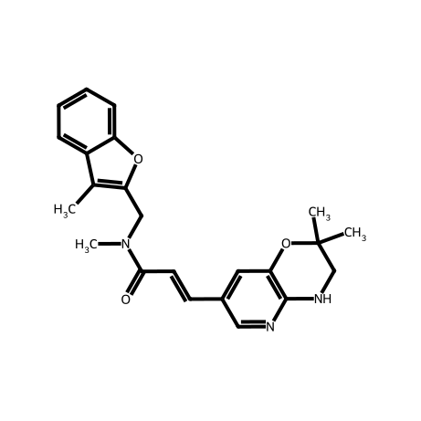 Cc1c(CN(C)C(=O)C=Cc2cnc3c(c2)OC(C)(C)CN3)oc2ccccc12